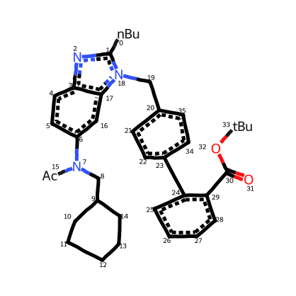 CCCCc1nc2ccc(N(CC3CCCCC3)C(C)=O)cc2n1Cc1ccc(-c2ccccc2C(=O)OC(C)(C)C)cc1